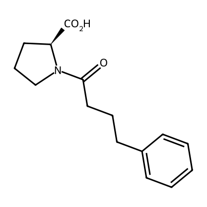 O=C(O)[C@@H]1CCCN1C(=O)CCCc1ccccc1